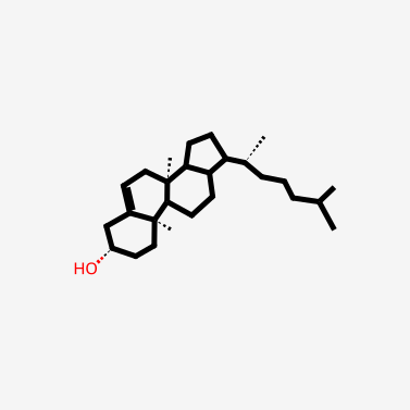 CC(C)CCC[C@@H](C)C1CCC2C1CCC1[C@@]2(C)CC=C2C[C@@H](O)CC[C@@]21C